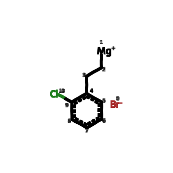 [Br-].[Mg+][CH2]Cc1ccccc1Cl